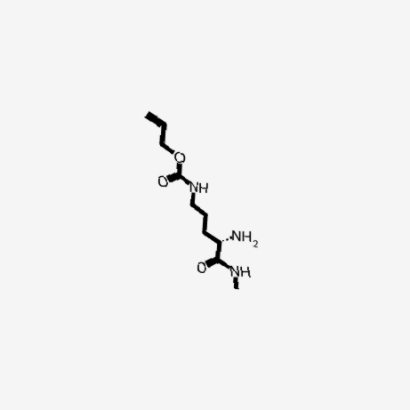 C=CCOC(=O)NCCC[C@H](N)C(=O)NC